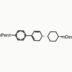 CCCCCCCCCC[C@H]1CC[C@H](C2C=CC(c3ccc(CCCCC)cc3)=CC2)CC1